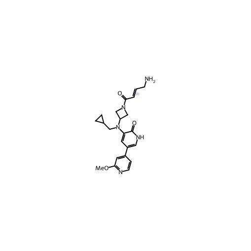 COc1cc(-c2c[nH]c(=O)c(N(CC3CC3)C3CN(C(=O)/C=C/CN)C3)c2)ccn1